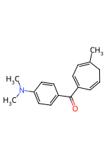 CC1=CC=C(C(=O)c2ccc(N(C)C)cc2)C=CC1